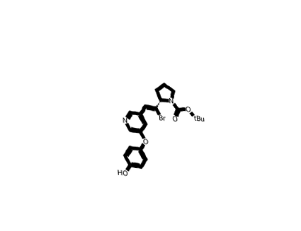 CC(C)(C)OC(=O)N1CCC[C@H]1C(Br)=Cc1cncc(Oc2ccc(O)cc2)c1